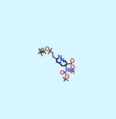 CC(C)(C)OC(=O)Nc1cc2cc(CCC(C)(C)O[Si](C)(C)C(C)(C)C)nn2cc1C(=O)O